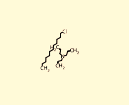 C=CCN(CC=C)CC=C.CCCCCCCCCCCCCl